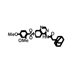 COc1ccc(S(=O)(=O)N2CCc3c(ncnc3NC(=O)CC34CC5CC(CC(C5)C3)C4)C2)c(OC)c1